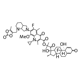 COc1c(N2CC3CCCN(Cc4oc(=O)oc4C)C3C2)c(F)c(C)c2c(=O)c(C(=O)OC(C)(C)C(=O)[C@@]3(O)[C@H](C)C[C@H]4[C@@H]5CCC6=CC(=O)C=C[C@]6(C)[C@@]5(F)[C@@H](O)C[C@@]43C)c(C)n(C3CC3)c12